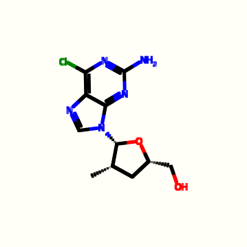 C[C@H]1C[C@@H](CO)O[C@H]1n1cnc2c(Cl)nc(N)nc21